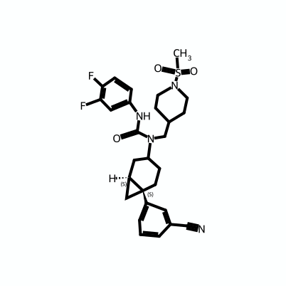 CS(=O)(=O)N1CCC(CN(C(=O)Nc2ccc(F)c(F)c2)C2CC[C@]3(c4cccc(C#N)c4)C[C@H]3C2)CC1